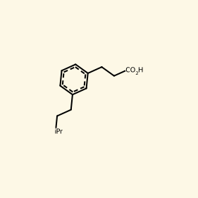 CC(C)CCc1cccc(CCC(=O)O)c1